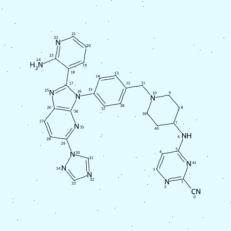 N#Cc1nccc(NC2CCN(Cc3ccc(-n4c(-c5cccnc5N)nc5ccc(-n6cncn6)nc54)cc3)CC2)n1